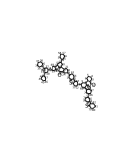 O=c1c2ccccc2c2cc(-c3ccc4sc5cc(-c6ccc7c(c6)c(=O)n6c8cn(-c9cc(-c%10ccccc%10)nc(-c%10ccccc%10)c9)cc8c8cc(-c9ccccc9)cc7c86)ccc5c4c3)cc3c4cc(-c5ccc6sc7ccccc7c6c5)ccc4n1c23